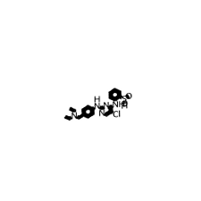 CCN(CC)Cc1ccc(Nc2ncc(Cl)c(Nc3ccccc3[SH](=O)=O)n2)cc1